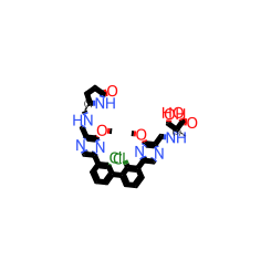 COc1nc(-c2cccc(-c3cccc(-c4cnc(CN[C@@](C)(CO)C(=O)O)c(OC)n4)c3Cl)c2Cl)cnc1CNC[C@@H]1CCC(=O)N1